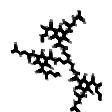 C=CCN(C)C(=O)c1c(I)c(NC(=O)COC(C)=O)c(I)c(C(=O)NCCN(CCNC(=O)c2c(I)c(NC(=O)COC(C)=O)c(I)c(C(=O)N(C)CC=C)c2I)CCNC(=O)c2c(I)c(NC(=O)COC(C)=O)c(I)c(C(=O)N(C)CC=C)c2I)c1I